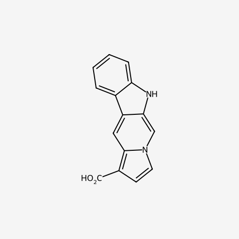 O=C(O)c1ccn2cc3[nH]c4ccccc4c3cc12